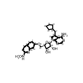 CNc1ccc2ccc(OC[C@H]3O[C@@H](n4cc(CC5CCCC5)c5c(N)ncnc54)[C@H](O)[C@@H]3O)cc2n1